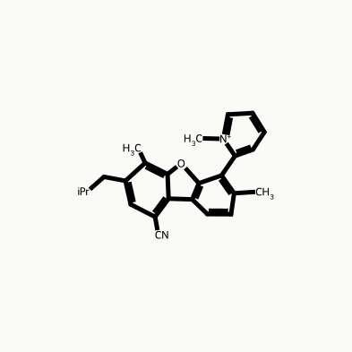 Cc1ccc2c(oc3c(C)c(CC(C)C)cc(C#N)c32)c1-c1cccc[n+]1C